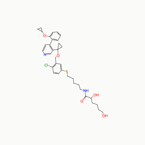 O=C(NCCCCCSc1ccc(Cl)c(COC2(c3cnccc3-c3ccccc3OC3CC3)CC2)c1)C(O)CCCCO